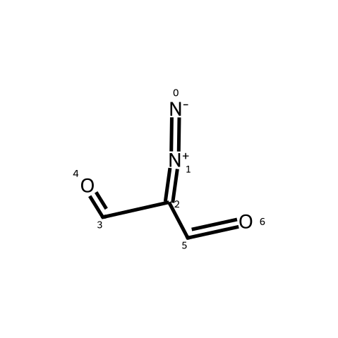 [N-]=[N+]=C(C=O)C=O